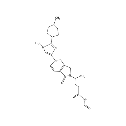 CC1CCC(c2nc(-c3ccc4c(c3)CN(C(C)CCC(=O)NC=O)C4=O)nn2C)CC1